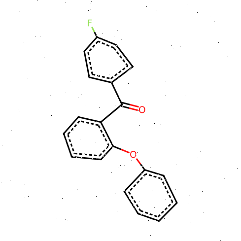 O=C(c1ccc(F)cc1)c1ccccc1Oc1ccccc1